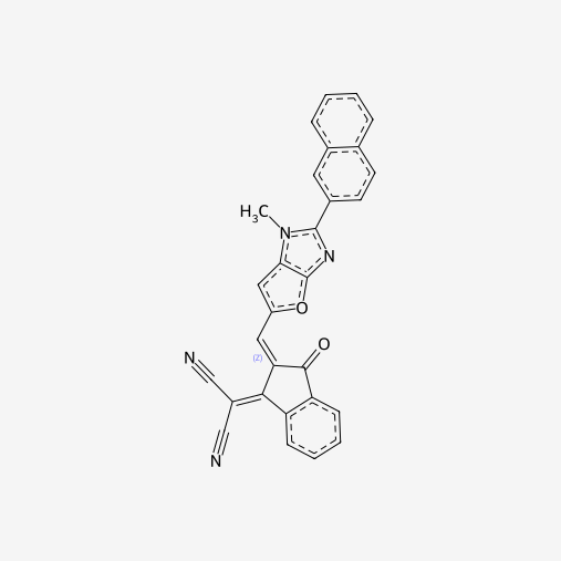 Cn1c(-c2ccc3ccccc3c2)nc2oc(/C=C3\C(=O)c4ccccc4C3=C(C#N)C#N)cc21